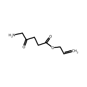 C=CCOC(=O)CCC(=O)CN